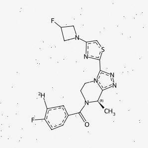 [2H]c1cc(C(=O)N2CCn3c(-c4nc(N5CC(F)C5)cs4)nnc3[C@H]2C)ccc1F